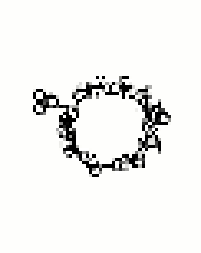 COc1ccc(CC[C@H]2OC(=O)[C@@H]3CCCCN3C(=O)C(=O)C(C)(C)COC(=O)/C=C\CCN(C)C(=O)[C@H](C)NC(=O)[C@H](C(C)C)N(C)C(=O)[C@@H](Cc3ccccc3)NC(=O)[C@H](CC(C)C)N(C)C(=O)CCC(=O)Nc3cccc2c3)cc1OC